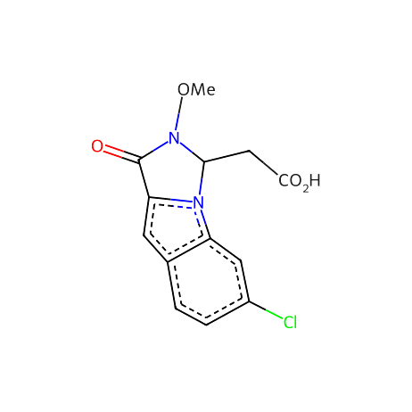 CON1C(=O)c2cc3ccc(Cl)cc3n2C1CC(=O)O